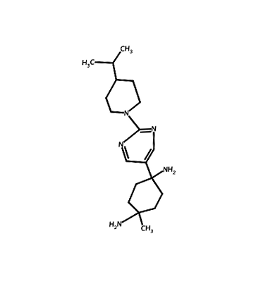 CC(C)C1CCN(c2ncc(C3(N)CCC(C)(N)CC3)cn2)CC1